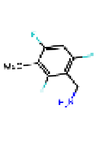 COc1c(F)cc(F)c(CN)c1F